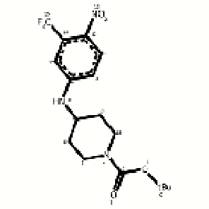 CC(C)(C)OC(=O)N1CCC(Nc2ccc([N+](=O)[O-])c(C(F)(F)F)c2)CC1